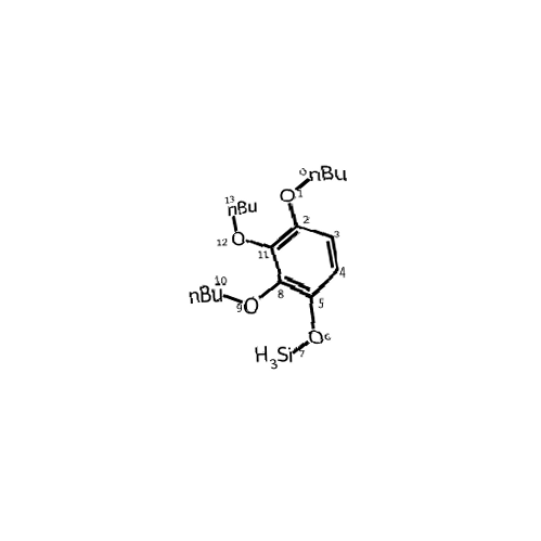 CCCCOc1ccc(O[SiH3])c(OCCCC)c1OCCCC